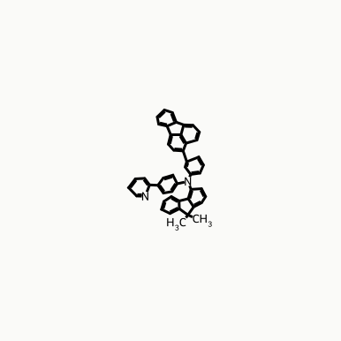 CC1(C)c2ccccc2-c2c(N(c3ccc(-c4ccccn4)cc3)c3cccc(-c4ccc5c6c(cccc46)-c4ccccc4-5)c3)cccc21